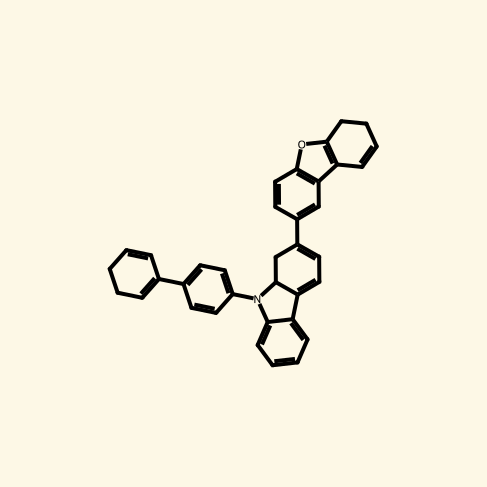 C1=CC(c2ccc(N3c4ccccc4C4=CC=C(c5ccc6oc7c(c6c5)C=CCC7)CC43)cc2)=CCC1